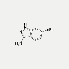 CCCCc1ccc2c(N)n[nH]c2c1